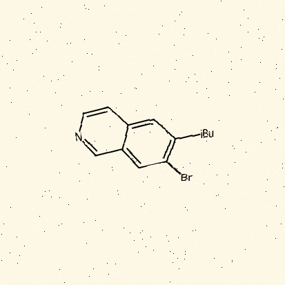 CCC(C)c1cc2ccncc2cc1Br